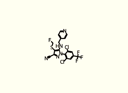 N#Cc1nn(-c2c(Cl)cc(C(F)(F)F)cc2Cl)c(NCc2ccncc2)c1SCF